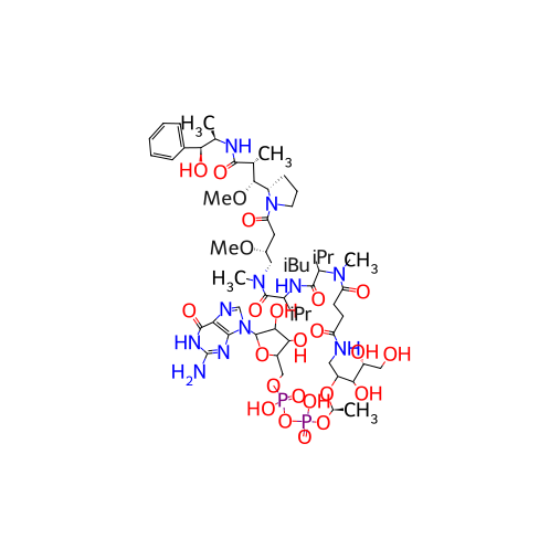 CC[C@H](C)[C@@H]([C@@H](CC(=O)N1CCC[C@H]1[C@H](OC)[C@@H](C)C(=O)N[C@H](C)[C@@H](O)c1ccccc1)OC)N(C)C(=O)C(NC(=O)C(C(C)C)N(C)C(=O)CCC(=O)NCC(O[C@@H](C)OP(=O)(O)OP(=O)(O)OCC1OC(n2cnc3c(=O)[nH]c(N)nc32)C(O)C1O)C(O)[C@H](O)CO)C(C)C